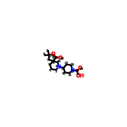 CC1(C)CC2(CCCN(C3CCN(C(=O)O)CC3)C2)C(=O)O1